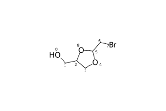 OCC1COC(CBr)O1